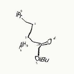 CC(C)CCC(=O)OCC(C)C.[AlH3]